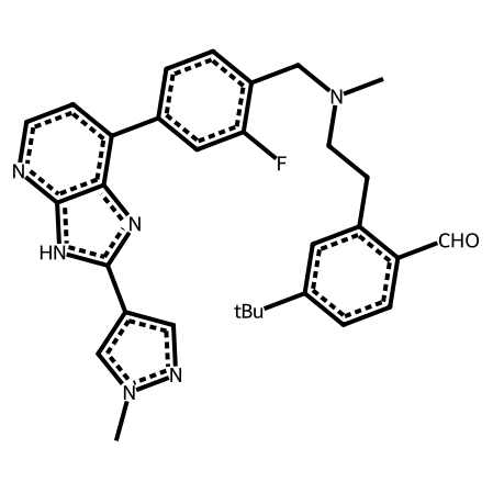 CN(CCc1cc(C(C)(C)C)ccc1C=O)Cc1ccc(-c2ccnc3[nH]c(-c4cnn(C)c4)nc23)cc1F